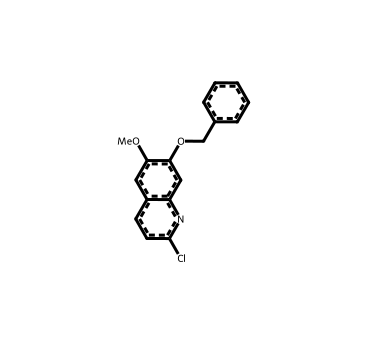 COc1cc2ccc(Cl)nc2cc1OCc1ccccc1